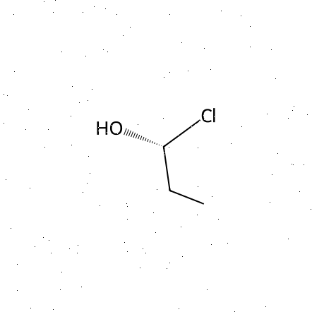 CC[C@H](O)Cl